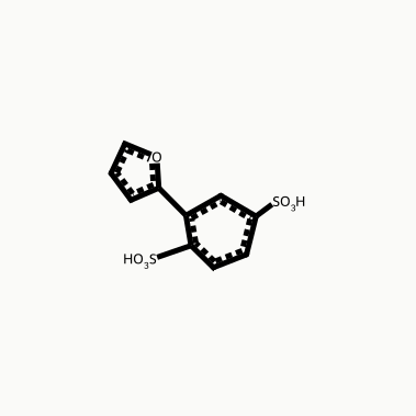 O=S(=O)(O)c1c[c]c(S(=O)(=O)O)c(-c2ccco2)c1